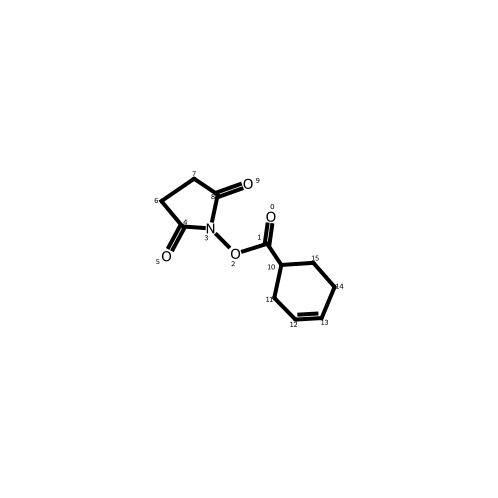 O=C(ON1C(=O)CCC1=O)C1CC=CCC1